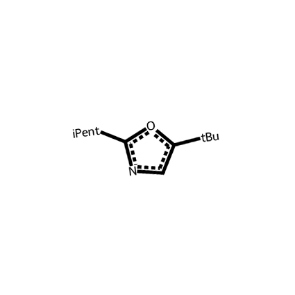 CCCC(C)c1ncc(C(C)(C)C)o1